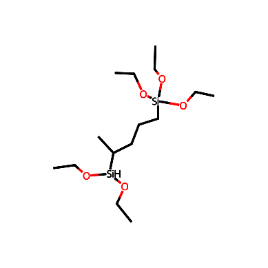 CCO[SiH](OCC)C(C)CCC[Si](OCC)(OCC)OCC